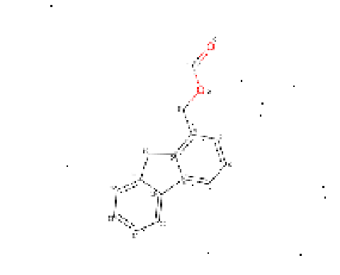 O=[C]OCc1cccc2c1Cc1ccccc1-2